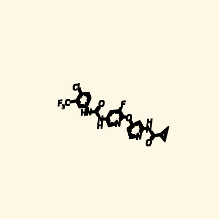 O=C(Nc1cnc(Oc2ccnc(NC(=O)C3CC3)c2)c(F)c1)Nc1ccc(Cl)c(C(F)(F)F)c1